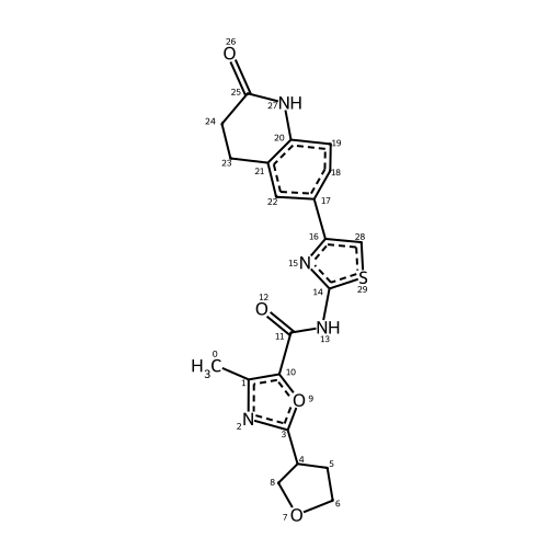 Cc1nc(C2CCOC2)oc1C(=O)Nc1nc(-c2ccc3c(c2)CCC(=O)N3)cs1